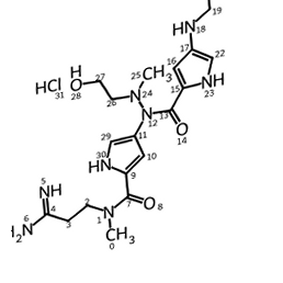 CN(CCC(=N)N)C(=O)c1cc(N(C(=O)c2cc(NCCO)c[nH]2)N(C)CCO)c[nH]1.Cl